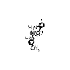 Cc1ccc2[nH]c(C(=O)NNC(=O)c3ccc(F)cc3N)cc2c1